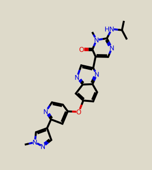 CC(C)Nc1ncc(-c2cnc3cc(Oc4ccnc(-c5cnn(C)c5)c4)ccc3n2)c(=O)n1C